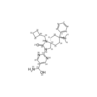 CN(C)[C@]1(c2ccccc2)CC[C@]2(CC1)CN(c1ncc(C(N)O)cn1)C(=O)N2CC1CCC1